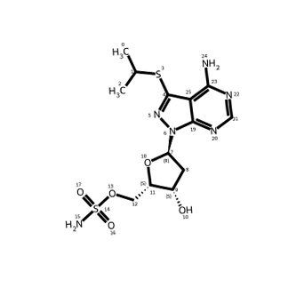 CC(C)Sc1nn([C@H]2C[C@H](O)[C@H](COS(N)(=O)=O)O2)c2ncnc(N)c12